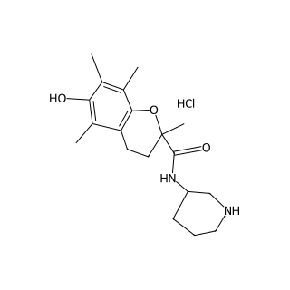 Cc1c(C)c2c(c(C)c1O)CCC(C)(C(=O)NC1CCCNC1)O2.Cl